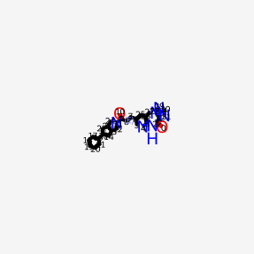 O=C1Nc2ncc(/C=C/C(=O)N3CC4C=C(c5ccccc5)CC4C3)cc2Cn2ncnc21